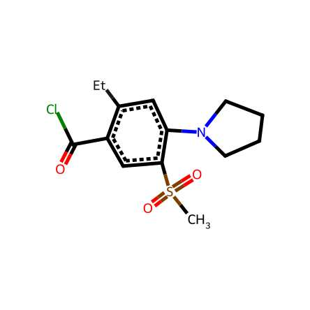 CCc1cc(N2CCCC2)c(S(C)(=O)=O)cc1C(=O)Cl